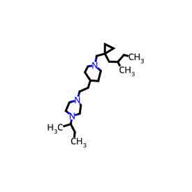 CCC(C)CC1(CN2CCC(CCN3CCN(C(C)CC)CC3)CC2)CC1